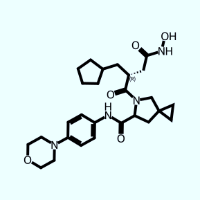 O=C(C[C@@H](CC1CCCC1)C(=O)N1CC2(CC2)CC1C(=O)Nc1ccc(N2CCOCC2)cc1)NO